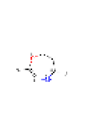 CC1=CN[C@@H](C)CCO1